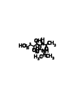 CC(=O)N/C(=C(\O)C(O)CCO)C(O)NC(C)C